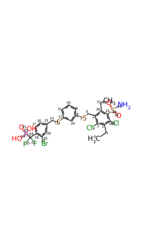 CCc1c(Cl)c(CSc2cccc(SCc3ccc(C(F)(F)P(=O)(O)O)c(Br)c3)c2)c(CC)c(S(N)(=O)=O)c1Cl